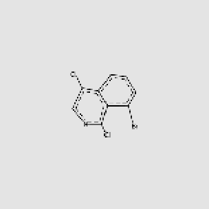 Clc1cnc(Cl)c2c(Br)cccc12